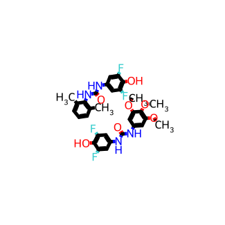 COc1cc(NC(=O)Nc2cc(F)c(O)c(F)c2)cc(OC)c1OC.Cc1cccc(C)c1NC(=O)Nc1cc(F)c(O)c(F)c1